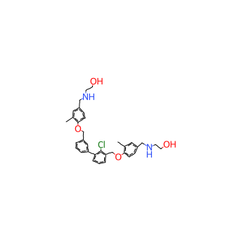 Cc1cc(CNCCO)ccc1OCc1cccc(-c2cccc(COc3ccc(CNCCO)cc3C)c2Cl)c1